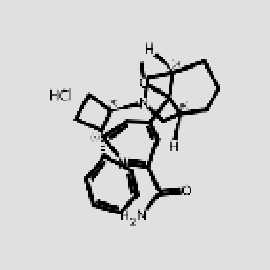 COC1(c2ccnc(C(N)=O)c2)[C@@H]2CCC[C@H]1CN([C@@H]1CC[C@H]1c1ccccc1)C2.Cl